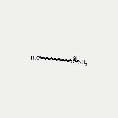 CCCCCCCCCCCCCCCCCCOC(O)CCN